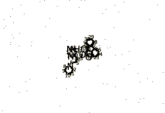 O=C(OC[C@H](CCN1CCCCC1)c1ccncn1)C1(O)c2ccccc2-c2ccccc21